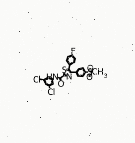 CS(=O)(=O)c1ccc(-c2nc(C(=O)Nc3cc(Cl)cc(Cl)c3)sc2-c2ccc(F)cc2)cc1